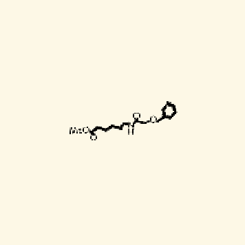 COC(=O)CCCCCNC(=O)COCc1ccccc1